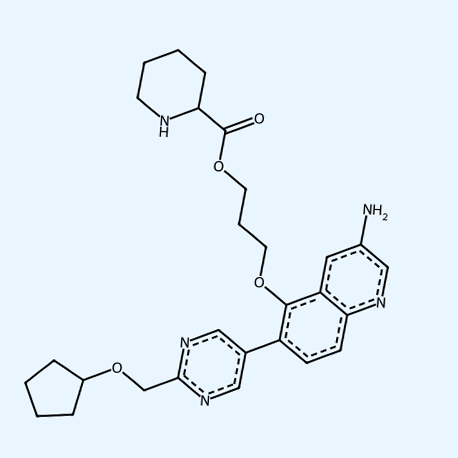 Nc1cnc2ccc(-c3cnc(COC4CCCC4)nc3)c(OCCCOC(=O)C3CCCCN3)c2c1